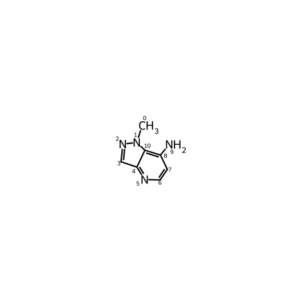 Cn1ncc2nccc(N)c21